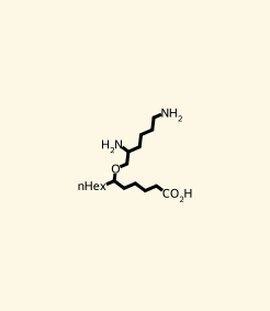 CCCCCCC(CCCCC(=O)O)OCC(N)CCCCN